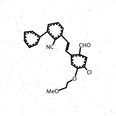 COCCOc1cc(/C=C/c2cccc(-c3ccccc3)c2C#N)c(C=O)cc1Cl